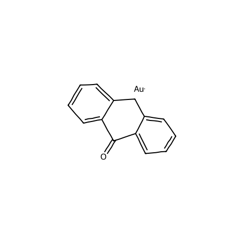 O=C1c2ccccc2Cc2ccccc21.[Au]